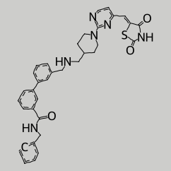 O=C1NC(=O)C(=Cc2ccnc(N3CCC(CNCc4cccc(-c5cccc(C(=O)NCc6ccccc6)c5)c4)CC3)n2)S1